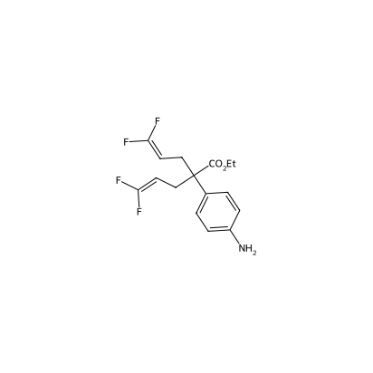 CCOC(=O)C(CC=C(F)F)(CC=C(F)F)c1ccc(N)cc1